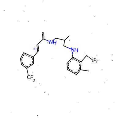 C=C(/C=C/c1cccc(C(F)(F)F)c1)NCC(C)CNc1cccc(C)c1CC(C)C